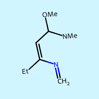 C=N/C(=C\C(NC)OC)CC